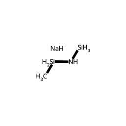 C[SiH2]N[SiH3].[NaH]